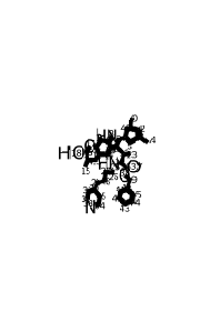 Cc1cc(C)cc(-c2[nH]c3ccc(CC(C)C(=O)O)cc3c2C(C)C(NCCCCc2ccncc2)C(=O)OCc2ccccc2)c1